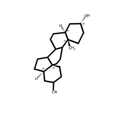 C[C@]12CC[C@@H](O)C[C@@H]1CCC1C3CC[C@@H]4CC(C#N)CC[C@]34CCC12